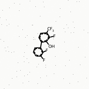 Oc1c(-c2cccc(F)c2F)ccc(C(F)(F)F)c1F